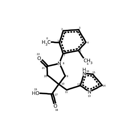 Cc1cccc(C)c1N1CC(Cc2ncc[nH]2)(C(=O)O)CC1=O